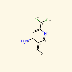 C=C(/N=C\C(=C/C)CN)C(F)F